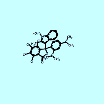 CCCCCCCCn1c(C)c(C2(c3ccc(N(C)C)cc3N(C)C)OC(=O)c3c(Cl)c(Cl)c(Cl)c(Cl)c32)c2ccccc21